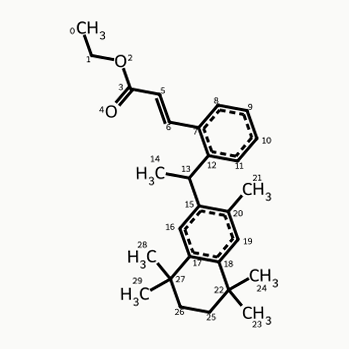 CCOC(=O)C=Cc1ccccc1C(C)c1cc2c(cc1C)C(C)(C)CCC2(C)C